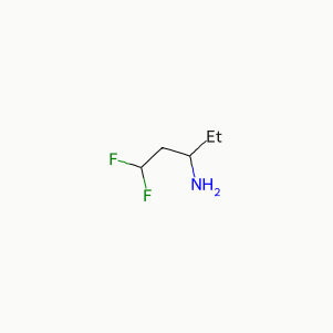 [CH2]CC(N)CC(F)F